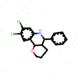 Clc1cc2c(cc1Cl)C1OCCCC1C(c1ccccc1)N2